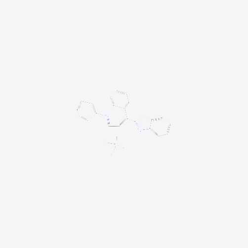 F[B-](F)(F)F.c1ccc(-[n+]2ccc(-c3nc4ccccc4s3)c3ccccc32)cc1